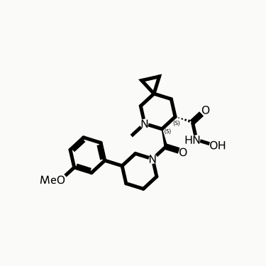 COc1cccc(C2CCCN(C(=O)[C@@H]3[C@@H](C(=O)NO)CC4(CC4)CN3C)C2)c1